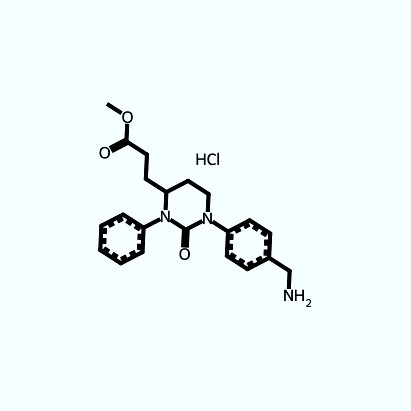 COC(=O)CCC1CCN(c2ccc(CN)cc2)C(=O)N1c1ccccc1.Cl